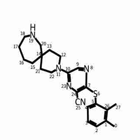 Cc1cccc(Sc2ncc(N3CCC4(CCCCNC4)CC3)nc2C#N)c1C